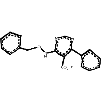 CCOC(=O)c1c(NOCc2ccccc2)ncnc1-c1ccccc1